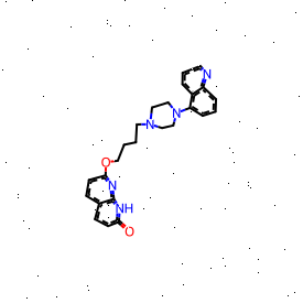 O=c1ccc2ccc(OCCCCN3CCN(c4cccc5ncccc45)CC3)nc2[nH]1